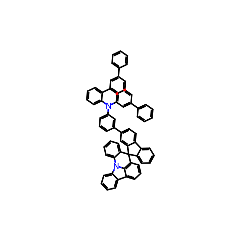 c1ccc(-c2cccc(-c3ccccc3N(c3cccc(-c4ccccc4)c3)c3cccc(-c4ccc5c(c4)C4(c6ccccc6-5)c5ccccc5-n5c6ccccc6c6cccc4c65)c3)c2)cc1